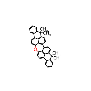 CC1(C)c2ccccc2-c2ccc3oc4ccc5c6c(ccc(c7ccc1c2c37)c46)C(C)(C)c1ccccc1-5